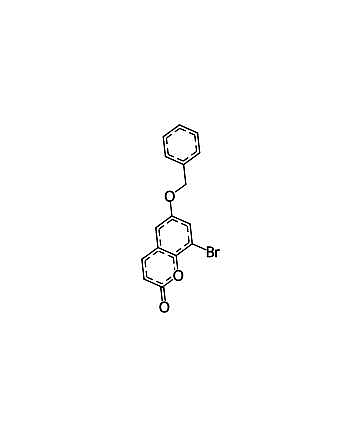 O=c1ccc2cc(OCc3ccccc3)cc(Br)c2o1